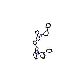 C1=CC(n2c3ccccc3c3cc(-c4cccc(-c5ccc6c(c5)c5ccccc5n6-c5cccc(-c6ccccc6)c5)c4)ccc32)=CC(c2ccccc2)C1